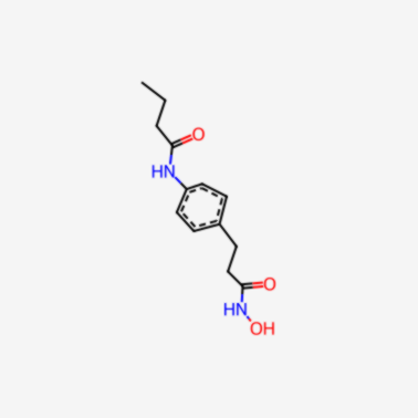 CCCC(=O)Nc1ccc(CCC(=O)NO)cc1